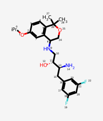 CC(C)Oc1ccc2c(c1)C(NC[C@@H](O)[C@@H](N)Cc1cc(F)cc(F)c1)COC2(C)C